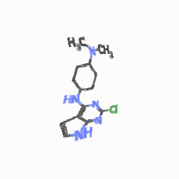 CN(C)C1CCC(Nc2nc(Cl)nc3[nH]ccc23)CC1